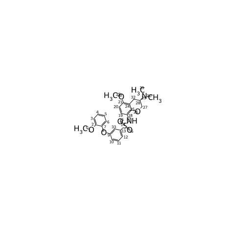 COc1ccccc1Oc1cccc(S(=O)(=O)Nc2ccc(OC)c3c2OC[C@H](N(C)C)C3)c1